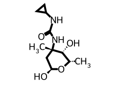 C[C@@H]1O[C@@H](O)C[C@](C)(NC(=O)NC2CC2)[C@@H]1O